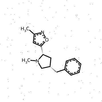 Cc1cc([C@@H]2C[C@H](Cc3ccccc3)CN2C)on1